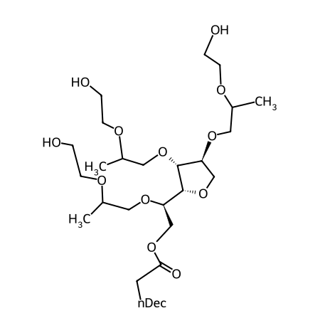 CCCCCCCCCCCC(=O)OC[C@@H](OCC(C)OCCO)[C@H]1OC[C@H](OCC(C)OCCO)[C@H]1OCC(C)OCCO